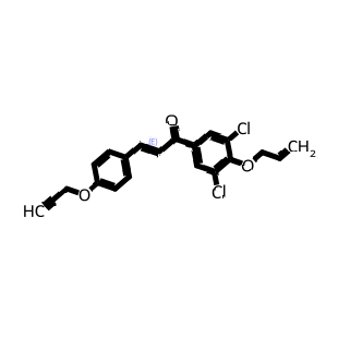 C#CCOc1ccc(/C=C/C(=O)c2cc(Cl)c(OCC=C)c(Cl)c2)cc1